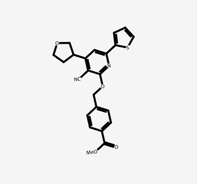 COC(=O)c1ccc(COc2nc(-c3cccs3)cc(C3CCOC3)c2C#N)cc1